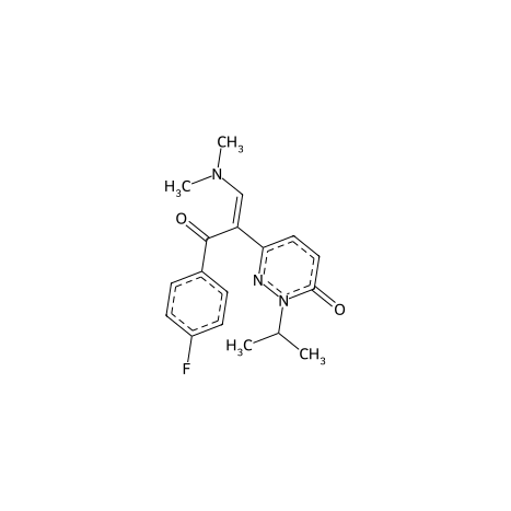 CC(C)n1nc(C(=CN(C)C)C(=O)c2ccc(F)cc2)ccc1=O